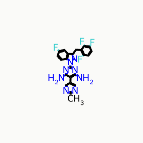 Cc1ncc(-c2c(N)nc(-n3nc(Cc4c(F)ccc(F)c4F)c4cc(F)ccc43)nc2N)cn1